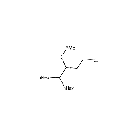 CCCCCCC(CCCCCC)C(CCCl)SSC